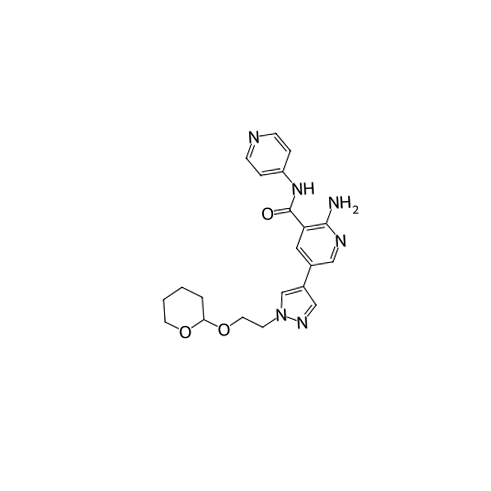 Nc1ncc(-c2cnn(CCOC3CCCCO3)c2)cc1C(=O)Nc1ccncc1